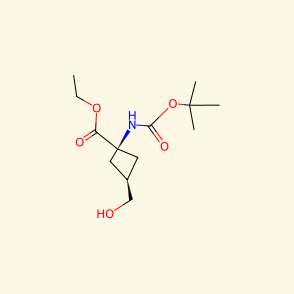 CCOC(=O)[C@]1(NC(=O)OC(C)(C)C)C[C@@H](CO)C1